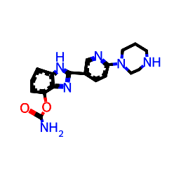 NC(=O)Oc1cccc2[nH]c(-c3ccc(N4CCCNCC4)nc3)nc12